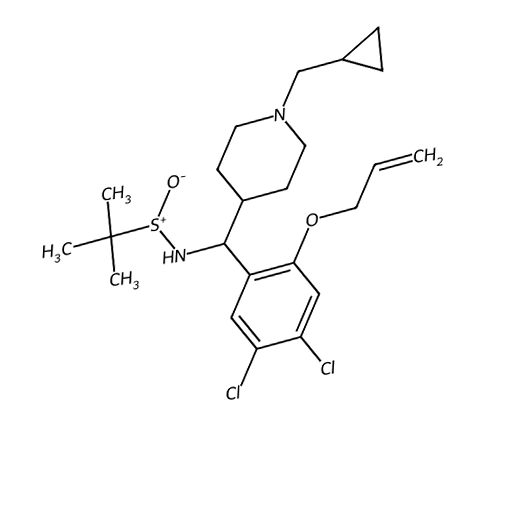 C=CCOc1cc(Cl)c(Cl)cc1C(N[S+]([O-])C(C)(C)C)C1CCN(CC2CC2)CC1